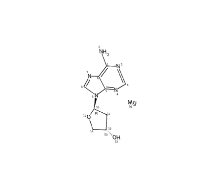 Nc1ncnc2c1ncn2[C@H]1C[C@H](O)CO1.[Mg]